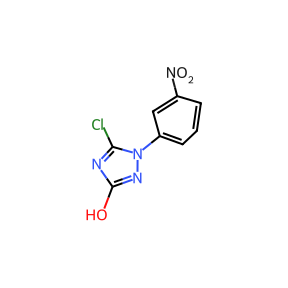 O=[N+]([O-])c1cccc(-n2nc(O)nc2Cl)c1